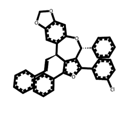 Clc1cccc(-c2oc(-c3ccccc3)c3c2[C@@H](c2ccccc2)Oc2cc4c(cc2[C@@H]3/C=C/c2ccccc2)OCO4)c1